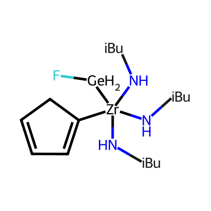 CCC(C)[NH][Zr]([NH]C(C)CC)([NH]C(C)CC)([GeH2][F])[C]1=CC=CC1